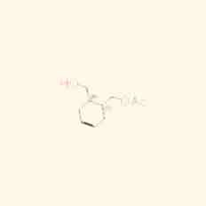 CC(=O)OC[C@H]1CC=CC[C@H]1CO